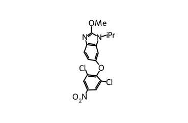 COc1nc2ccc(Oc3c(Cl)cc([N+](=O)[O-])cc3Cl)cc2n1C(C)C